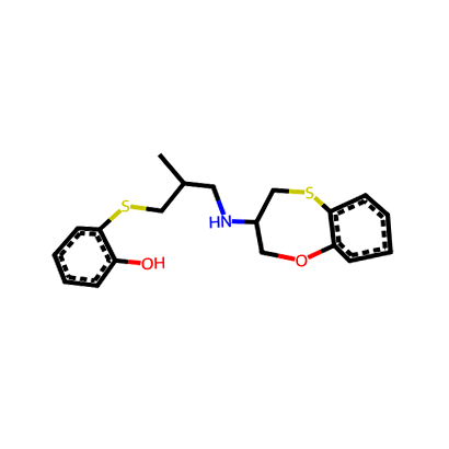 CC(CNC1COc2ccccc2SC1)CSc1ccccc1O